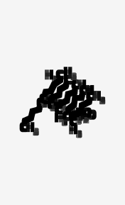 CCCCCC.CCCCCC.CCCCCC.CCCCCC.CCCCCC.CCCCCC.O.O